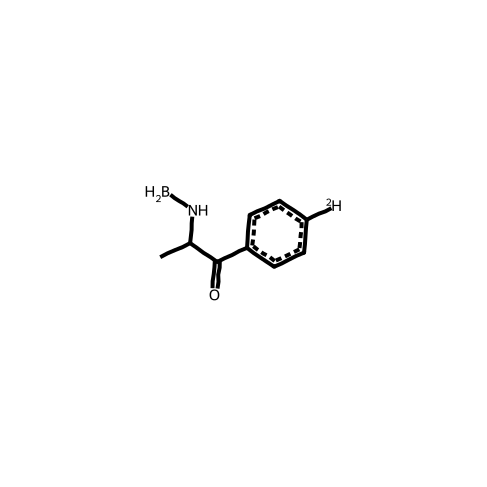 [2H]c1ccc(C(=O)C(C)NB)cc1